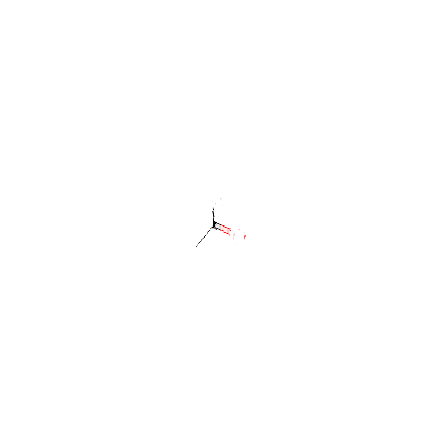 C[C](=O)[Sb]